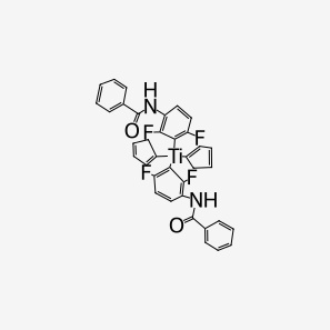 O=C(Nc1ccc(F)[c]([Ti]([C]2=CC=CC2)([C]2=CC=CC2)[c]2c(F)ccc(NC(=O)c3ccccc3)c2F)c1F)c1ccccc1